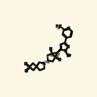 CC(C)n1nc(-c2ccnc(C(F)(F)F)c2)cc1[C@H]1[C@@H]2C[C@H](N3CCC4(C3)CS(=O)(=O)C4)C[C@@H]21